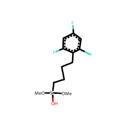 CO[Si](O)(CCCCc1c(F)cc(F)cc1F)OC